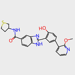 COc1ncccc1-c1ccc(O)c(-c2nc3cc(C(=O)NC4CCSC4)ccc3[nH]2)c1